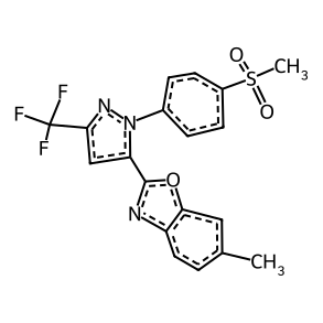 Cc1ccc2nc(-c3cc(C(F)(F)F)nn3-c3ccc(S(C)(=O)=O)cc3)oc2c1